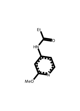 CCC(=O)Nc1ccnc(OC)c1